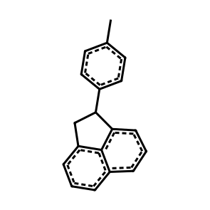 Cc1ccc(C2Cc3cccc4cccc2c34)cc1